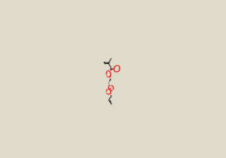 C=CCOOCCOC(=O)C(=C)C